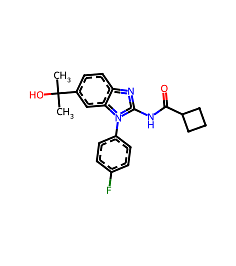 CC(C)(O)c1ccc2nc(NC(=O)C3CCC3)n(-c3ccc(F)cc3)c2c1